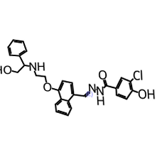 O=C(N/N=C/c1ccc(OCCNC(CO)c2ccccc2)c2ccccc12)c1ccc(O)c(Cl)c1